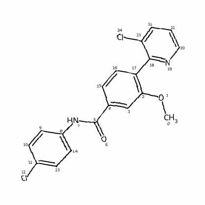 COc1cc(C(=O)Nc2ccc(Cl)cc2)ccc1-c1ncccc1Cl